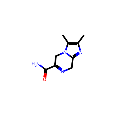 Cc1nc2n(c1C)CC(C(N)=O)=NC2